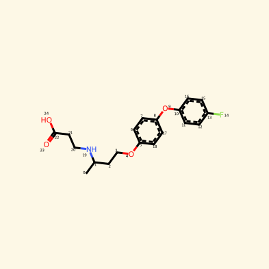 CC(CCOc1ccc(Oc2ccc(F)cc2)cc1)NCCC(=O)O